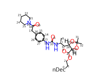 CCCCCCCCCCCCO[C@H]1O[C@H]([C@H](C)NC(=O)Nc2ccc(CC(=O)N3CCCCC3)cc2)[C@@H]2OC(C)(C)O[C@H]12